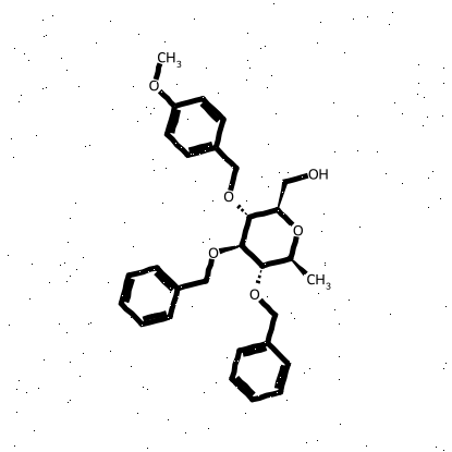 COc1ccc(CO[C@H]2[C@H](OCc3ccccc3)[C@@H](OCc3ccccc3)[C@H](C)O[C@@H]2CO)cc1